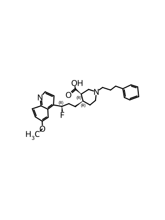 COc1ccc2nccc([C@H](F)CC[C@@H]3CCN(CCCc4ccccc4)C[C@@H]3C(=O)O)c2c1